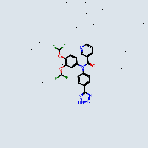 O=C(c1cccnc1)N(c1ccc(-c2nn[nH]n2)cc1)c1ccc(OC(F)F)c(OC(F)F)c1